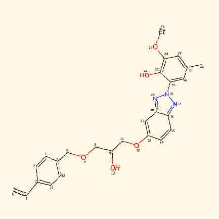 C=Cc1ccc(COCC(O)COc2ccc3nn(-c4cc(C)cc(OCC)c4O)nc3c2)cc1